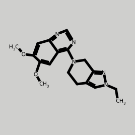 CCn1cc2c(n1)CN(c1ncnc3cc(OC)c(OC)cc13)CC2